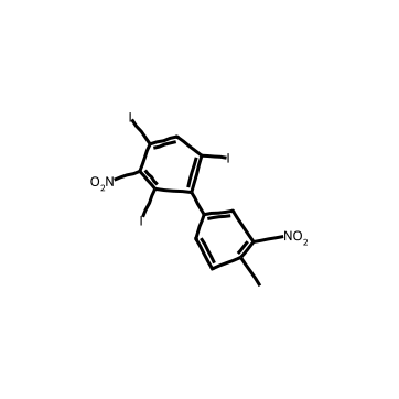 Cc1ccc(-c2c(I)cc(I)c([N+](=O)[O-])c2I)cc1[N+](=O)[O-]